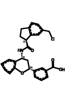 O=C(O)c1cccc([C@H]2C[C@@H](NC(=O)[C@H]3CCc4ccc(CCl)cc43)c3ccccc3O2)c1